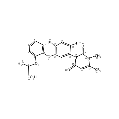 CC(Oc1ccccc1Oc1cc(-n2c(=O)cc(C(F)(F)F)n(C)c2=O)c(F)cc1Br)C(=O)O